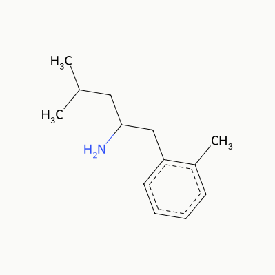 Cc1ccccc1CC(N)CC(C)C